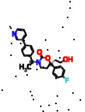 C[C@@H](c1ccc(-c2cccnc2)cc1)N1CC[C@](CCO)(c2ccc(F)cc2)OC1=O